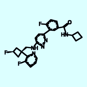 O=C(NC1CCC1)c1ccc(F)c(-c2ccc(NC[C@]3(c4ncccc4F)C[C@H](F)C3)nn2)c1